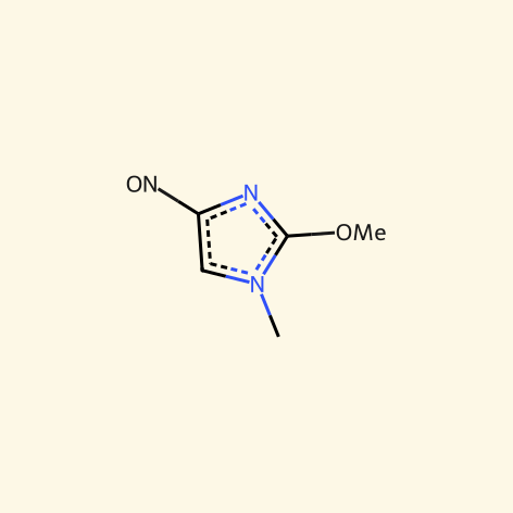 COc1nc(N=O)cn1C